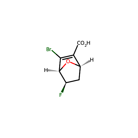 O=C(O)C1=C(Br)[C@H]2O[C@@H]1C[C@H]2F